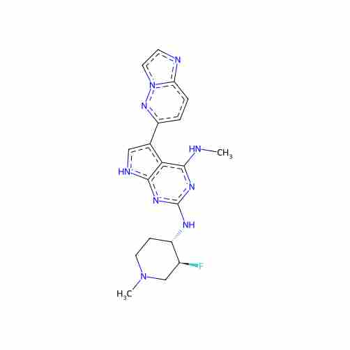 CNc1nc(N[C@H]2CCN(C)C[C@@H]2F)nc2[nH]cc(-c3ccc4nccn4n3)c12